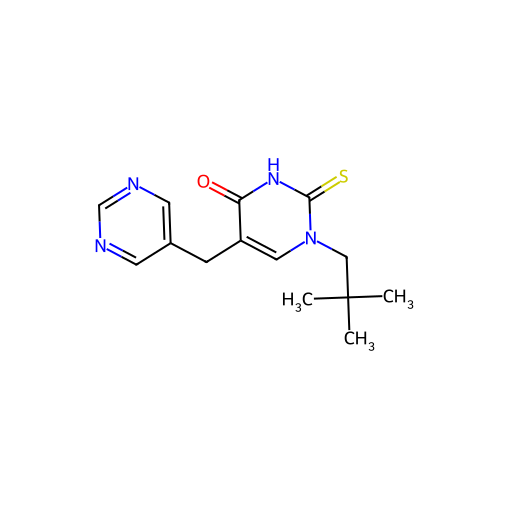 CC(C)(C)Cn1cc(Cc2cncnc2)c(=O)[nH]c1=S